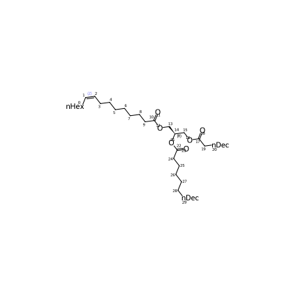 CCCCCC/C=C\CCCCCCCC(=O)OC[C@@H](COC(=O)CCCCCCCCCCC)OC(=O)CCCCCCCCCCCCCCC